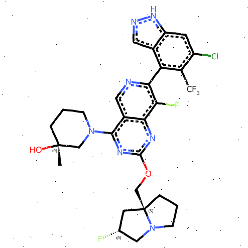 C[C@@]1(O)CCCN(c2nc(OC[C@@]34CCCN3C[C@H](F)C4)nc3c(F)c(-c4c(C(F)(F)F)c(Cl)cc5[nH]ncc45)ncc23)C1